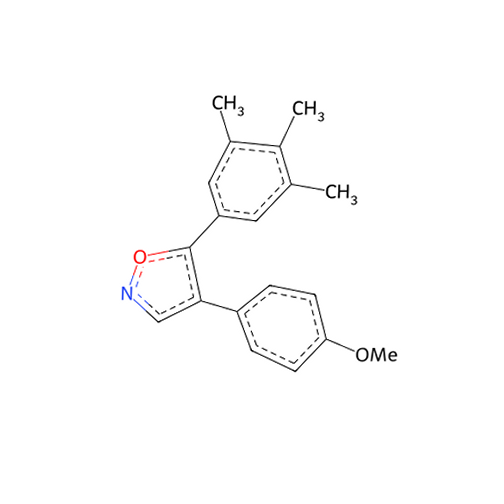 COc1ccc(-c2cnoc2-c2cc(C)c(C)c(C)c2)cc1